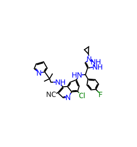 CC(C)(CNc1c(C#N)cnc2c(Cl)cc(NC(C3=CN(C4CC4)NN3)c3ccc(F)cc3)cc12)c1ccccn1